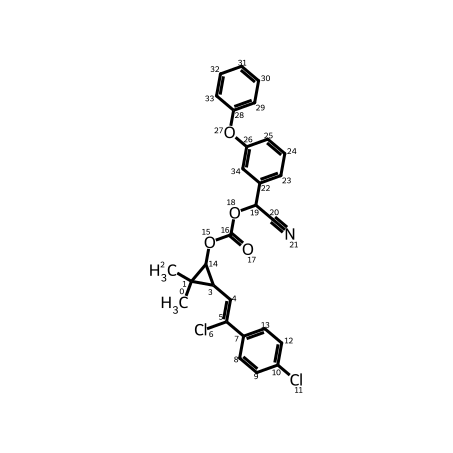 CC1(C)C(C=C(Cl)c2ccc(Cl)cc2)C1OC(=O)OC(C#N)c1cccc(Oc2ccccc2)c1